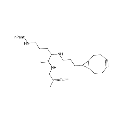 C=C=C(C)CNC(=C)C(CCCNCCCCC)NCCCC1C2CCC#CCCC21